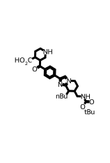 CCCCC1c2nc(-c3ccc(C(=O)C4CNCCC4C(=O)O)cc3)cn2CCC1CNC(=O)OC(C)(C)C